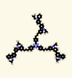 CC(C)CN1c2ccc(CCCc3ccc(-c4nc(-c5ccc(CCCc6ccc7c(c6)c6cc(-c8ccc9c(c8)c8c(n9CC(C)C)CCC=C8)ccc6n7CC(C)C)cc5)nc(-c5ccc(CCCc6ccc7c(c6)c6cc(-c8ccc9c(c8)c8ccccc8n9CC(C)C)ccc6n7CC(C)C)cc5)n4)cc3)cc2C2C=C(c3ccc4c(c3)c3ccccc3n4CC(C)C)C=CC21